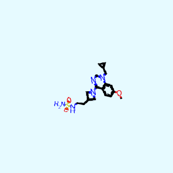 COc1ccc2c(c1)N(CC1CC1)CN=C2N1CC(CCNS(N)(=O)=O)C1